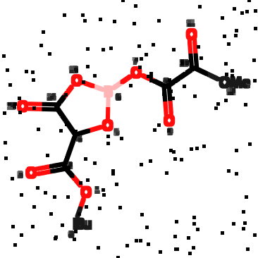 CCC(C)OC(=O)C1OB(OC(=O)C(=O)OC)OC1=O